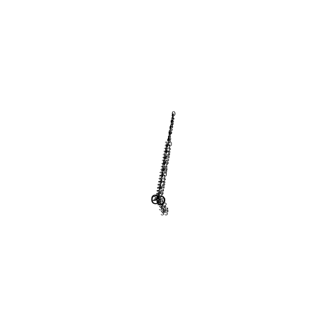 C#CC#CC#CC#CC#CC#CC#CC#CC#CC#CC#CC#CC#CC#CC(=O)OCCCCC